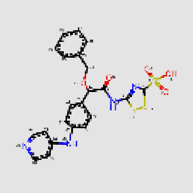 O=C(NC1=NC(S(=O)(=O)O)SS1)C(OCc1ccccc1)c1ccc(Nc2ccncc2)cc1